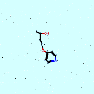 CC(O)CCOc1ccncc1